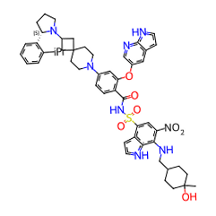 CC(C)c1ccccc1[C@@H]1CCCN1C1CC2(CCN(c3ccc(C(=O)NS(=O)(=O)c4cc([N+](=O)[O-])c(NCC5CCC(C)(O)CC5)c5[nH]ccc45)c(Oc4cnc5[nH]ccc5c4)c3)CC2)C1